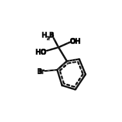 BC(O)(O)c1ccccc1Br